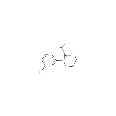 CC(C)N1CCCCC1c1cccc(F)c1